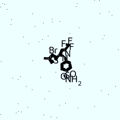 Cc1csc(-c2cc(C(F)(F)F)nn2-c2ccc(S(N)(=O)=O)cc2)c1Br